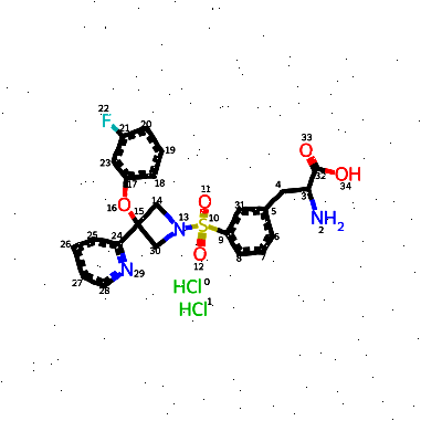 Cl.Cl.NC(Cc1cccc(S(=O)(=O)N2CC(Oc3cccc(F)c3)(c3ccccn3)C2)c1)C(=O)O